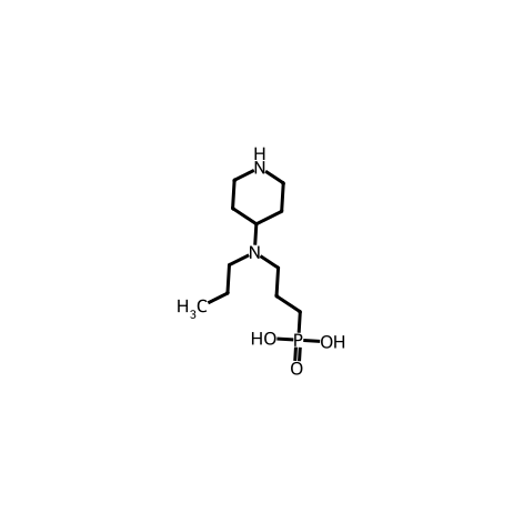 CCCN(CCCP(=O)(O)O)C1CCNCC1